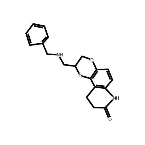 O=C1CCc2c(ccc3c2OC(CNCc2ccccc2)CO3)N1